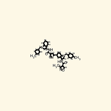 Cc1ccc(Cn2cc(NC(=O)c3cc(-c4ccc5c(c4)c(NC(=O)c4conc4C)cn5Cc4ccc(C)cc4)no3)c3ccccc32)cc1